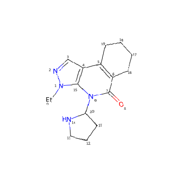 CCn1ncc2c3c(c(=O)n(C4CCCN4)c21)CCCC3